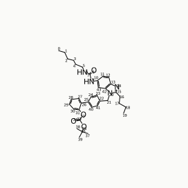 CCCCCCNC(=O)Nc1ccc2nc(CCCC)n(Cc3ccc(-c4ccccc4OC(=O)OC(C)(C)C)cc3)c2c1